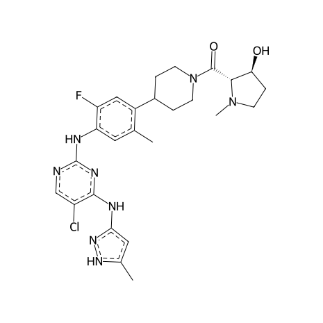 Cc1cc(Nc2nc(Nc3cc(C)c(C4CCN(C(=O)[C@@H]5[C@@H](O)CCN5C)CC4)cc3F)ncc2Cl)n[nH]1